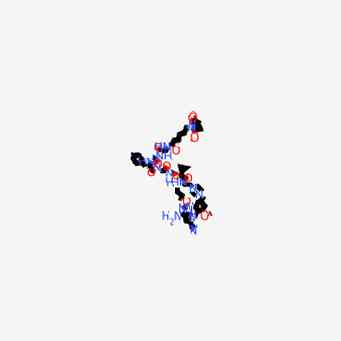 CCCCOc1nc(N)c2cc(C#N)n(Cc3ccc(CN4CCN(CCNC(=O)[C@@H](OCNC(=O)CNC(=O)[C@H](Cc5ccccc5)NC(=O)CNC(=O)CNC(=O)CCCCCN5C(=O)C=CC5=O)C5CC5)CC4)cc3OC)c2n1